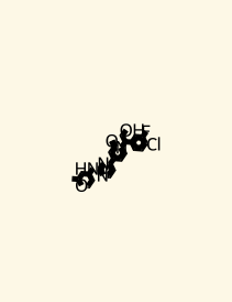 CC1CC(Nc2nccc(-c3ccn(C(CO)c4ccc(Cl)c(F)c4)c(=O)c3)n2)CCO1